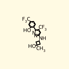 C[C@]1(O)C[C@H](Nc2cc(C(F)(F)F)c(-c3ccc(C(F)(F)F)cc3O)nn2)C1